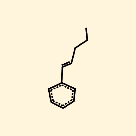 CCC/C=C/c1c[c]ccc1